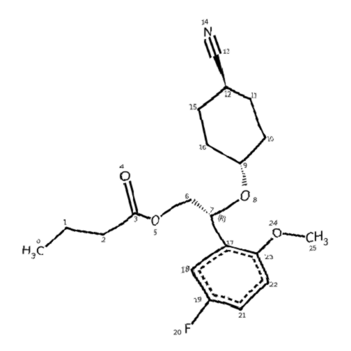 CCCC(=O)OC[C@H](O[C@H]1CC[C@H](C#N)CC1)c1cc(F)ccc1OC